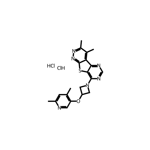 Cc1cc(C)c(OC2CN(c3ncnc4c3sc3nnc(C)c(C)c34)C2)cn1.Cl.Cl